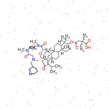 CC(C)C1=C2[C@H]3CC[C@@H]4[C@@]5(C)CC[C@H](OC(=O)CC(C)(C)C(=O)O)C(C)(C)[C@@H]5CC[C@@]4(C)[C@]3(C)CC[C@@]2([C@H](CN(CC(=O)N(C)C)Cc2cccnc2)OCC(=O)N(C)C)CC1=O